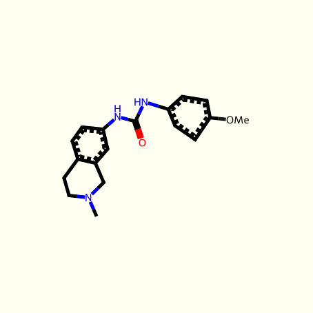 COc1ccc(NC(=O)Nc2ccc3c(c2)CN(C)CC3)cc1